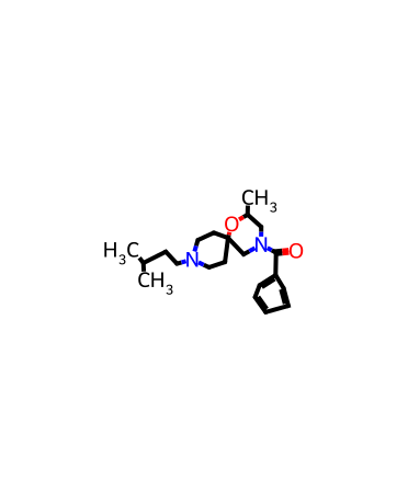 CC(C)CCN1CCC2(CC1)CN(C(=O)c1ccccc1)CC(C)O2